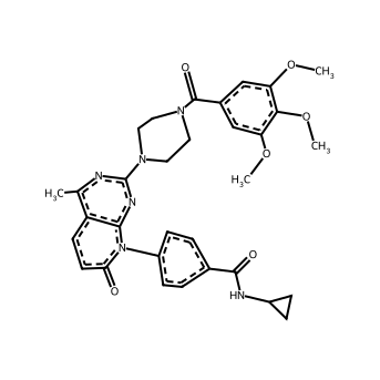 COc1cc(C(=O)N2CCN(c3nc(C)c4ccc(=O)n(-c5ccc(C(=O)NC6CC6)cc5)c4n3)CC2)cc(OC)c1OC